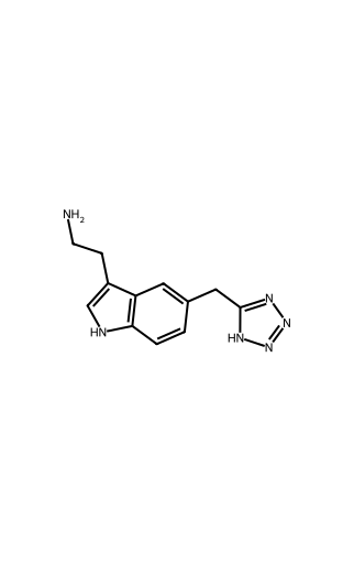 NCCc1c[nH]c2ccc(Cc3nnn[nH]3)cc12